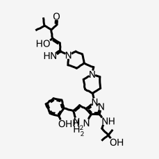 CC(C)C(C=O)/C(O)=C/C(=N)N1CCC(CN2CCC(n3nc(NCC(C)(C)O)c(N)c3/C=C(\N)c3ccccc3O)CC2)CC1